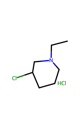 CCN1CCCC(Cl)C1.Cl